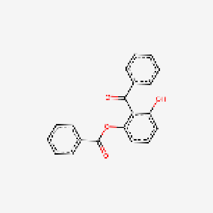 O=C(Oc1cccc(O)c1C(=O)c1ccccc1)c1ccccc1